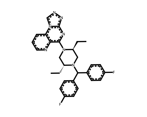 CC[C@H]1CN(C(c2ccc(F)cc2)c2ccc(F)cc2)[C@H](CC)CN1c1nc2nncn2c2cccnc12